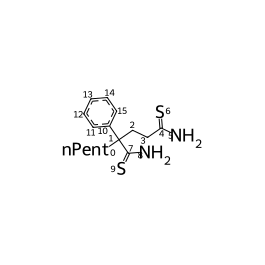 CCCCCC(CCC(N)=S)(C(N)=S)c1ccccc1